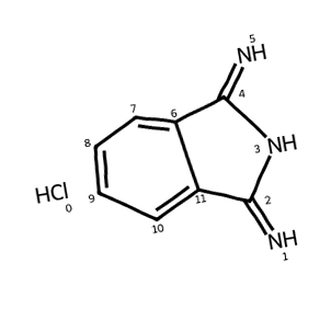 Cl.N=C1NC(=N)c2ccccc21